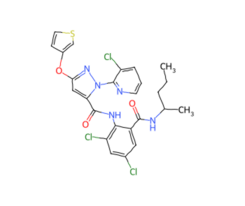 CCCC(C)NC(=O)c1cc(Cl)cc(Cl)c1NC(=O)c1cc(Oc2ccsc2)nn1-c1ncccc1Cl